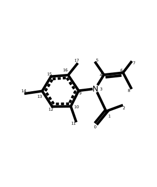 C=C(C)N(C(C)=C(C)C)c1c(C)cc(C)cc1C